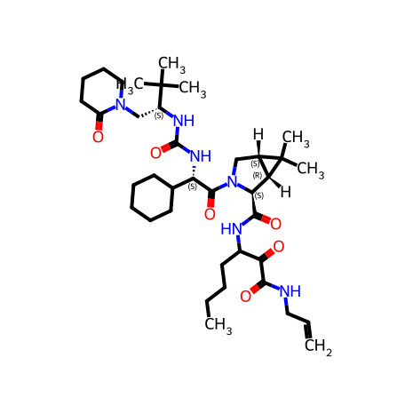 C=CCNC(=O)C(=O)C(CCCC)NC(=O)[C@@H]1[C@@H]2[C@H](CN1C(=O)[C@@H](NC(=O)N[C@H](CN1CCCCC1=O)C(C)(C)C)C1CCCCC1)C2(C)C